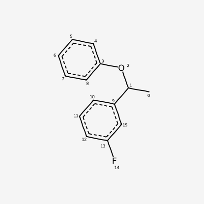 CC(Oc1ccccc1)c1cccc(F)c1